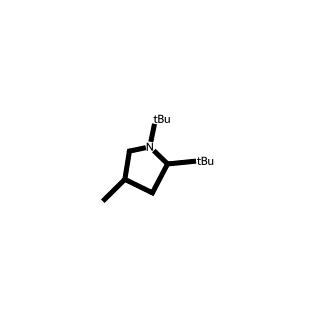 CC1CC(C(C)(C)C)N(C(C)(C)C)C1